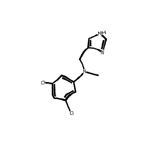 CN(Cc1c[nH]cn1)c1cc(Cl)cc(Cl)c1